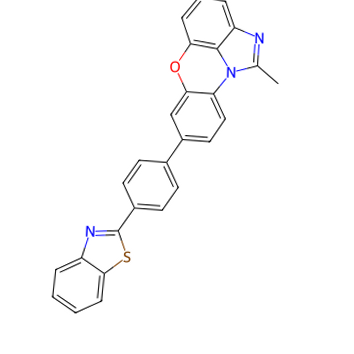 Cc1nc2cccc3c2n1-c1ccc(-c2ccc(-c4nc5ccccc5s4)cc2)cc1O3